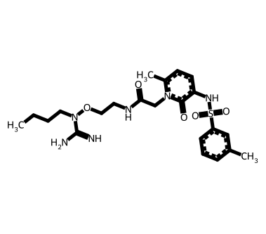 CCCCN(OCCNC(=O)Cn1c(C)ccc(NS(=O)(=O)c2cccc(C)c2)c1=O)C(=N)N